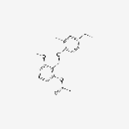 CCc1ccc(OCc2c(OC)cccc2OC(C)=O)c(C)c1